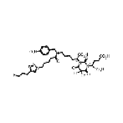 CCC1(CC)C(=O)N([C@@H](CCCCN(Cc2ccc([N+](=O)[O-])cc2)C(=O)CCCCn2cc(CCCF)nn2)C(=O)O)C(=O)N([C@@H](CCC(=O)O)C(=O)O)C1=O